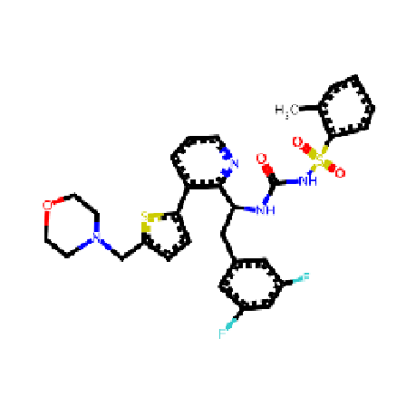 Cc1ccccc1S(=O)(=O)NC(=O)NC(Cc1cc(F)cc(F)c1)c1ncccc1-c1ccc(CN2CCOCC2)s1